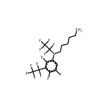 CCCCCCN(c1cc(F)c(F)c(C(F)(F)C(F)(F)F)c1F)C(F)(F)C(F)(F)F